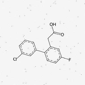 O=C(O)Cc1cc(F)ccc1-c1cccc(Cl)c1